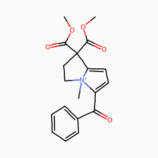 COC(=O)C1(C(=O)OC)CC[N+]2(C)C(C(=O)c3ccccc3)=CC=C12